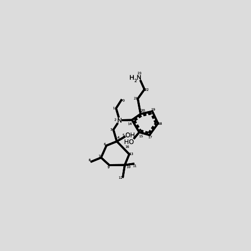 CCN(CC1(O)CC(C)CC(C)(C)C1)c1c(O)cccc1CCN